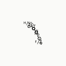 NC(=O)[C@@H]1CCCN1C(=O)c1ccc(-c2cnc(OCC3CCN(CC4(C(F)(F)F)CCC4)CC3)cn2)cc1F